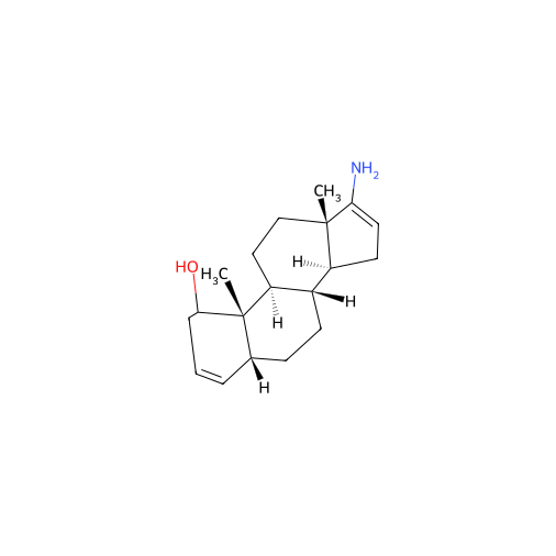 C[C@]12C(O)CC=C[C@H]1CC[C@@H]1[C@@H]2CC[C@]2(C)C(N)=CC[C@@H]12